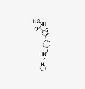 O=C(NO)c1cc(-c2ccc(CNCCN3CCCC3)cc2)cs1